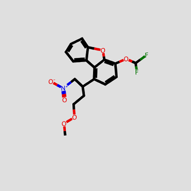 COOCCC(C[N+](=O)[O-])c1ccc(OC(F)F)c2oc3ccccc3c12